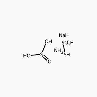 N.O=S(=O)(O)S.O=S(O)O.[NaH]